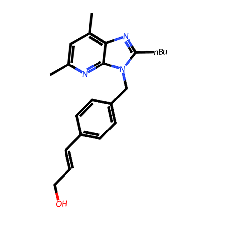 CCCCc1nc2c(C)cc(C)nc2n1Cc1ccc(/C=C/CO)cc1